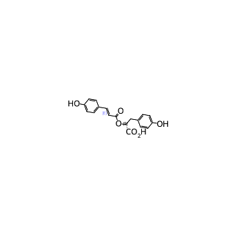 O=C(/C=C/c1ccc(O)cc1)O[C@H](Cc1ccc(O)cc1)C(=O)O